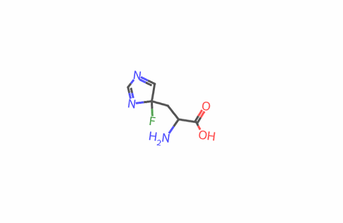 NC(CC1(F)C=NC=N1)C(=O)O